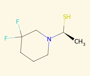 C[C@H](S)N1CCCC(F)(F)C1